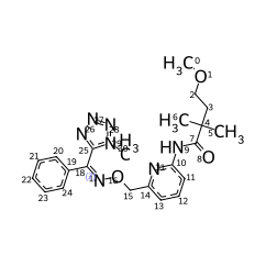 COCCC(C)(C)C(=O)Nc1cccc(CO/N=C(/c2ccccc2)c2nnnn2C)n1